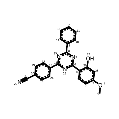 COc1ccc(-c2nc(-c3ccccc3)nc(-c3ccc(C#N)cc3)n2)c(O)c1